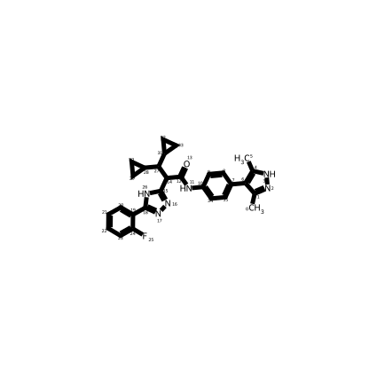 Cc1n[nH]c(C)c1-c1ccc(NC(=O)C(c2nnc(-c3ccccc3F)[nH]2)C(C2CC2)C2CC2)cc1